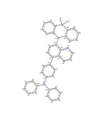 CC1(C)c2ccccc2N(c2ccc(-c3ccc(N(c4ccccc4)c4ccccc4)cc3)c3nccnc23)c2ccccc21